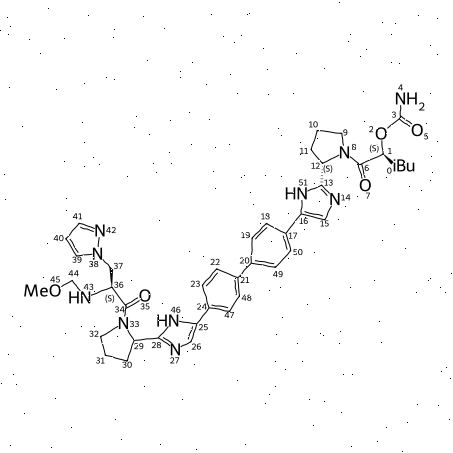 CCC(C)[C@H](OC(N)=O)C(=O)N1CCC[C@H]1c1ncc(-c2ccc(-c3ccc(-c4cnc(C5CCCN5C(=O)[C@H](Cn5cccn5)NCOC)[nH]4)cc3)cc2)[nH]1